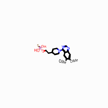 COc1cc2ncnc(N3CCC(CCOP(O)(O)=S)CC3)c2cc1OC